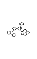 c1ccc(-c2cc(-c3cccc(-n4c5ccccc5c5ccncc54)c3)cc(-c3ccc4ccc5cccc6ccc3c4c56)n2)nc1